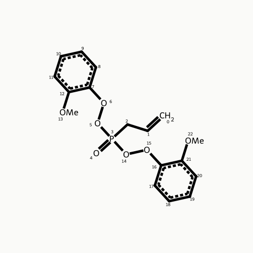 C=CCP(=O)(OOc1ccccc1OC)OOc1ccccc1OC